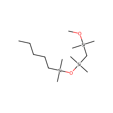 CCCCC[Si](C)(C)O[Si](C)(C)C[Si](C)(C)OC